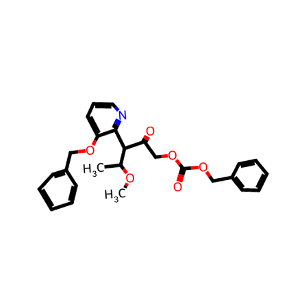 COC(C)C(C(=O)COC(=O)OCc1ccccc1)c1ncccc1OCc1ccccc1